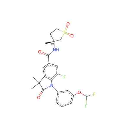 CC1(C)C(=O)N(c2cccc(OC(F)F)c2)c2c(F)cc(C(=O)N[C@]3(C)CCS(=O)(=O)C3)cc21